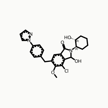 COc1c(Cc2ccc(-n3cccn3)cc2)cc2c(c1Cl)C(O)N([C@@H]1CCCC[C@H]1O)C2=O